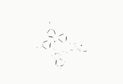 COc1ccc(C(OCc2nc3cncnc3n2CCCO[Si](C)(C)C(C)(C)C)(c2ccccc2)c2ccc(OC)cc2)cc1